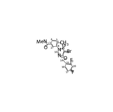 CNC(=O)c1ccc(C)c(-n2cnc(OCc3ccc(F)cc3F)c(Br)c2=O)c1